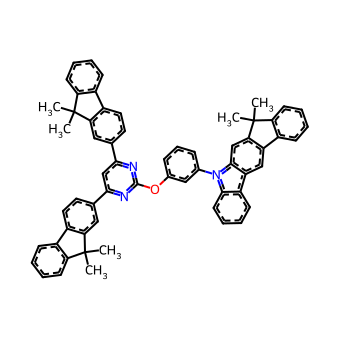 CC1(C)c2ccccc2-c2ccc(-c3cc(-c4ccc5c(c4)C(C)(C)c4ccccc4-5)nc(Oc4cccc(-n5c6ccccc6c6cc7c(cc65)C(C)(C)c5ccccc5-7)c4)n3)cc21